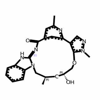 Cc1cc2cc(n1)-c1cnn(C)c1OC[C@H](O)C[C@@H](C)CN1/C(=N/C2=O)Nc2ccccc21